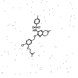 Cc1ccc(S(=O)(=O)Nc2cc3c(nc2OCc2ccc(Cl)c(OCCN(C)C)c2)CCN(C)C3)cc1